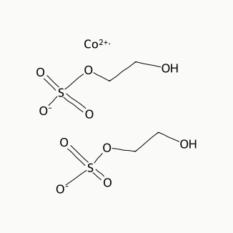 O=S(=O)([O-])OCCO.O=S(=O)([O-])OCCO.[Co+2]